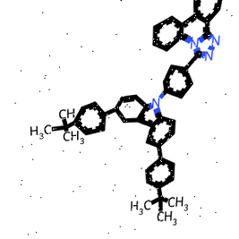 CC(C)(C)c1ccc(-c2ccc3c(c2)c2c(n3-c3ccc(-c4nnc5c6ccccc6c6ccccc6n45)cc3)C=CC(c3ccc(C(C)(C)C)cc3)C2)cc1